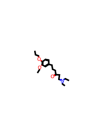 CCCOc1ccc(CCCC(=O)CCN(CC)CC)cc1OCC